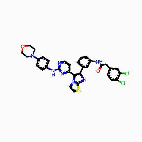 O=C(Cc1ccc(Cl)c(Cl)c1)Nc1cccc(-c2nc3sccn3c2-c2ccnc(Nc3ccc(N4CCOCC4)cc3)n2)c1